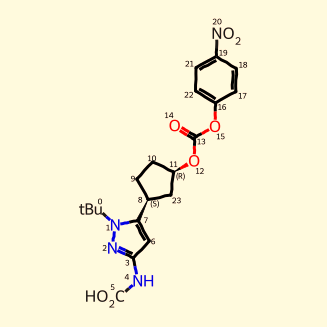 CC(C)(C)n1nc(NC(=O)O)cc1[C@H]1CC[C@@H](OC(=O)Oc2ccc([N+](=O)[O-])cc2)C1